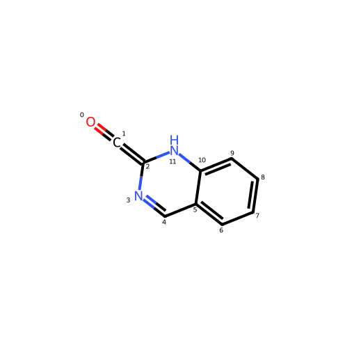 O=C=C1N=Cc2ccccc2N1